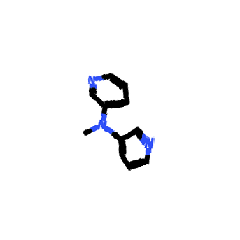 CN(c1cccnc1)c1cccnc1